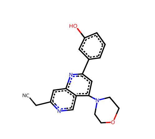 N#CCc1cc2nc(-c3cccc(O)c3)cc(N3CCOCC3)c2cn1